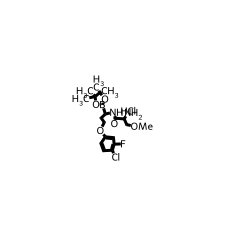 COCC(N)C(=O)NC(CCOc1ccc(Cl)c(F)c1)B1OC(C)(C)C(C)(C)O1.Cl